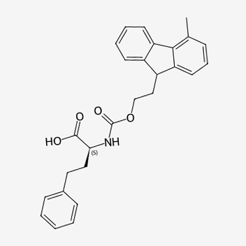 Cc1cccc2c1-c1ccccc1C2CCOC(=O)N[C@@H](CCc1ccccc1)C(=O)O